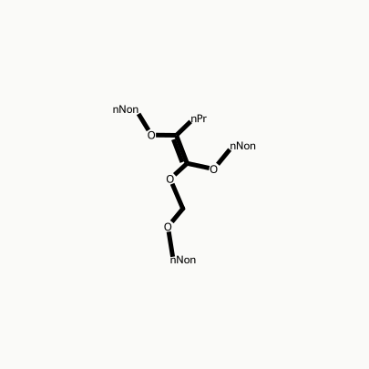 CCCCCCCCCOCOC(OCCCCCCCCC)=C(CCC)OCCCCCCCCC